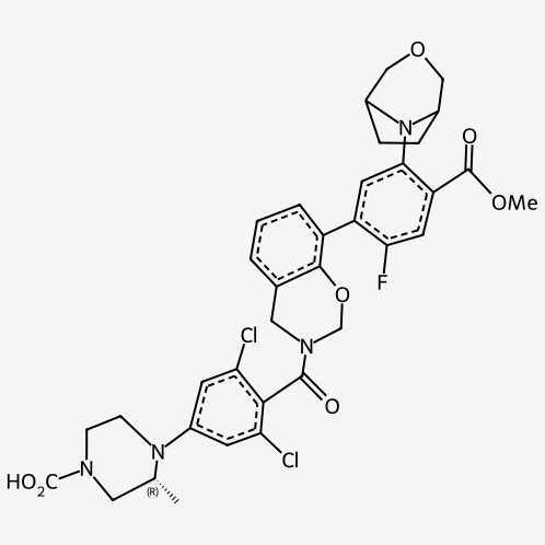 COC(=O)c1cc(F)c(-c2cccc3c2OCN(C(=O)c2c(Cl)cc(N4CCN(C(=O)O)C[C@H]4C)cc2Cl)C3)cc1N1C2CCC1COC2